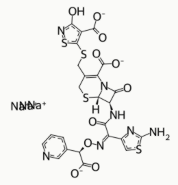 Nc1nc(/C(=N/O[C@@H](C(=O)[O-])c2cccnc2)C(=O)N[C@@H]2C(=O)N3C(C(=O)[O-])=C(CSc4snc(O)c4C(=O)[O-])CS[C@@H]23)cs1.[Na+].[Na+].[Na+]